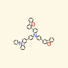 c1ccc(-n2c3ccccc3c3cc(-c4ccc(N(c5ccc(-c6ccc7oc8ccccc8c7c6)cc5)c5cccc(-c6cccc7c6oc6ccccc67)c5)cc4)ccc32)cc1